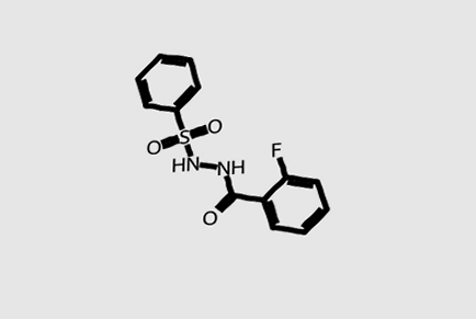 O=C(NNS(=O)(=O)c1ccccc1)c1ccccc1F